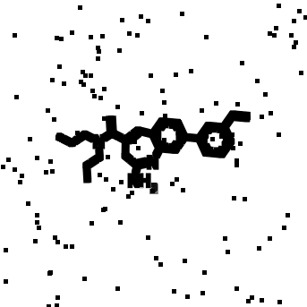 C=Cc1cccc(-c2ccc3c(c2)N=C(N)CC(C(=C)N(CCC)CCC)=C3)c1